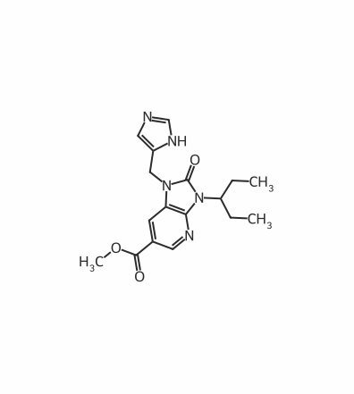 CCC(CC)n1c(=O)n(Cc2cnc[nH]2)c2cc(C(=O)OC)cnc21